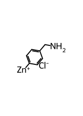 NCc1cc[c]([Zn+])cc1.[Cl-]